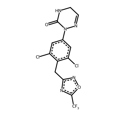 O=C1NCC=NN1c1cc(Cl)c(Cc2noc(C(F)(F)F)n2)c(Cl)c1